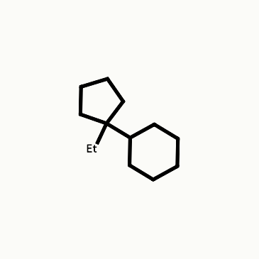 CCC1(C2CCCCC2)CCCC1